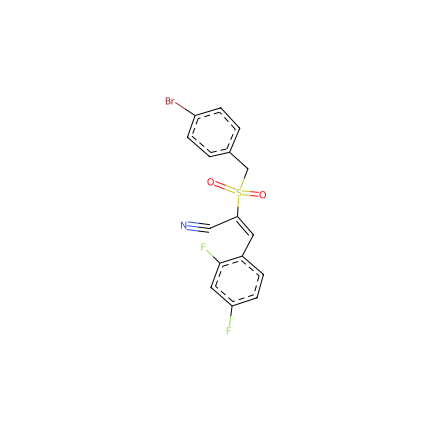 N#CC(=Cc1ccc(F)cc1F)S(=O)(=O)Cc1ccc(Br)cc1